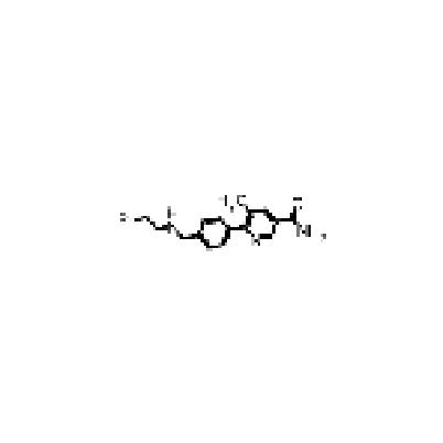 Cc1cc(C(N)=O)cnc1-c1ccc(CNCCC(C)C)cc1